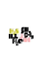 CBC.CBC.S